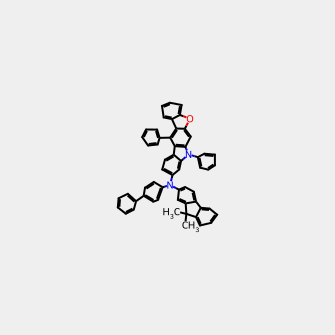 CC1(C)c2ccccc2-c2ccc(N(c3ccc(-c4ccccc4)cc3)c3ccc4c5c(-c6ccccc6)c6c(cc5n(-c5ccccc5)c4c3)oc3ccccc36)cc21